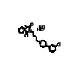 Cl.Cl.O=C1SC2(CCCC2)C(=O)N1CCCCN1CCN(c2cccc(Cl)c2)CC1